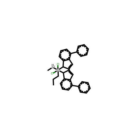 CC[CH2][Zr]([Cl])([Cl])([SiH2]C)([CH]1C(C)=Cc2c(-c3ccccc3)cccc21)[CH]1C(C)=Cc2c(-c3ccccc3)cccc21